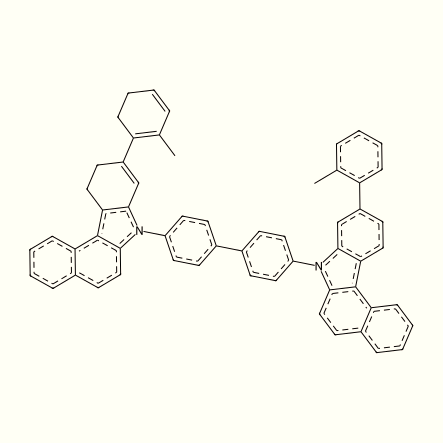 CC1=C(C2=Cc3c(c4c5ccccc5ccc4n3-c3ccc(-c4ccc(-n5c6cc(-c7ccccc7C)ccc6c6c7ccccc7ccc65)cc4)cc3)CC2)CCC=C1